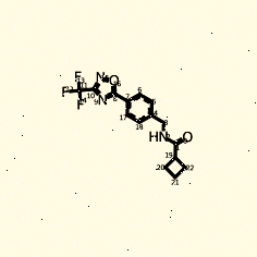 O=C(NCc1ccc(-c2nc(C(F)(F)F)no2)cc1)C1CCC1